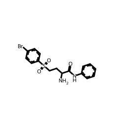 NC(CCS(=O)(=O)c1ccc(Br)cc1)C(=O)Nc1ccccc1